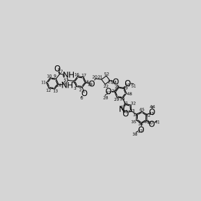 COc1cc(C2NC(=O)c3ccccc3N2)ccc1OCC1CC(Oc2c(OC)cc(-c3cc(-c4cc(OC)c(OC)c(OC)c4)on3)cc2OC)C1